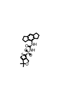 CC1(C)OCc2c1csc2S(=O)(=O)NC(=O)Nc1c2c(cc3c1CCC3)CCC2